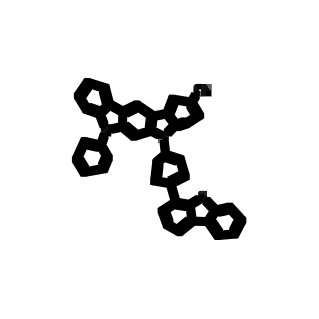 N#Cc1ccc2c(c1)c1cc3c4ccccc4n(-c4ccccc4)c3cc1n2-c1ccc(-c2cccc3c2sc2ccccc23)cc1